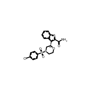 NC(=O)c1sc2ccccc2c1[C@@H]1CN(S(=O)(=O)c2ccc(Cl)cc2)CCO1